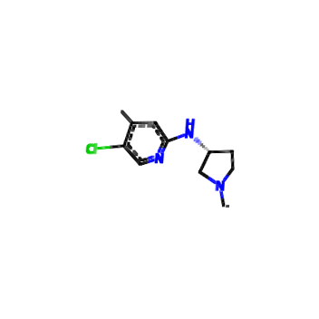 [CH2]N1CC[C@@H](Nc2cc(C)c(Cl)cn2)C1